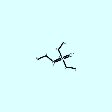 CCN=S(=O)(CC)CC